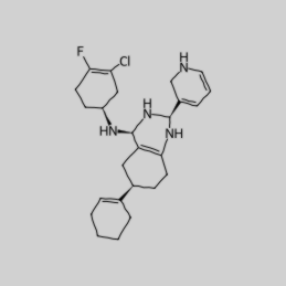 FC1=C(Cl)C[C@@H](N[C@H]2N[C@@H](C3=CC=CNC3)NC3=C2C[C@H](C2=CCCCC2)CC3)CC1